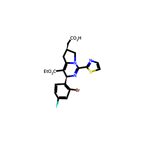 CCOC(=O)C1=C2C[C@@H](CC(=O)O)CN2C(c2nccs2)=N[C@H]1c1ccc(F)cc1Br